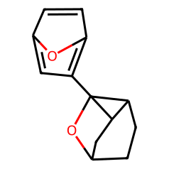 c1cc2oc1cc2C1CC2CCC1CO2